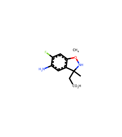 C.CC1(CC(=O)O)NOc2cc(F)c(N)cc21